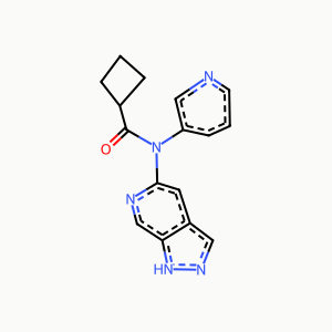 O=C(C1CCC1)N(c1cccnc1)c1cc2cn[nH]c2cn1